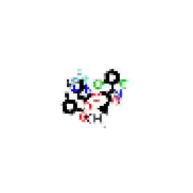 COC(=O)c1cccc(CN(C)c2ccc(OCc3c(-c4c(Cl)cccc4Cl)noc3C3CC3)nc2C(F)(F)F)c1